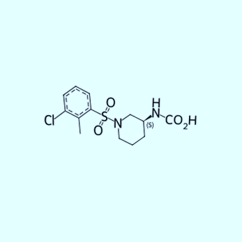 Cc1c(Cl)cccc1S(=O)(=O)N1CCC[C@H](NC(=O)O)C1